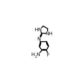 Nc1cc(N=C2NCCN2)ccc1F